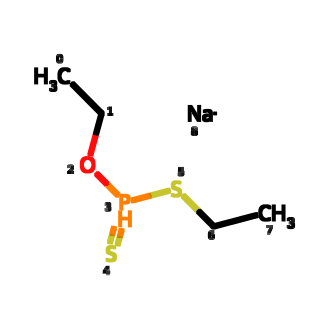 CCO[PH](=S)SCC.[Na]